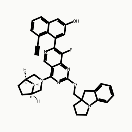 C#Cc1cccc2cc(O)cc(-c3ncc4c(N5C[C@H]6CC[C@@H](C5)N6)nc(OCC56CCCN5c5ccccc5C6)nc4c3F)c12